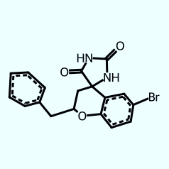 O=C1NC(=O)C2(CC(Cc3ccccc3)Oc3ccc(Br)cc32)N1